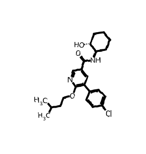 CC(C)CCOc1ncc(C(=O)NC2CCCC[C@H]2O)cc1-c1ccc(Cl)cc1